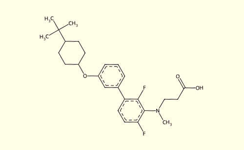 CN(CCC(=O)O)c1c(F)ccc(-c2cccc(OC3CCC(C(C)(C)C)CC3)c2)c1F